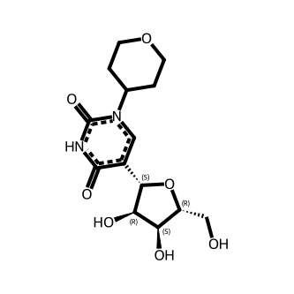 O=c1[nH]c(=O)n(C2CCOCC2)cc1[C@@H]1O[C@H](CO)[C@@H](O)[C@H]1O